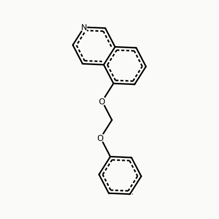 [c]1ccc(OCOc2cccc3cnccc23)cc1